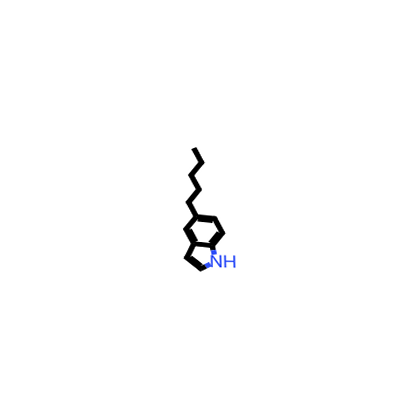 CCCCCc1ccc2[nH]ccc2c1